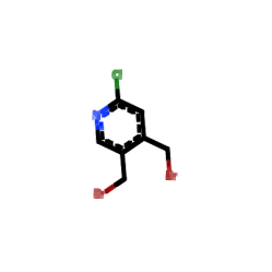 Clc1cc(CBr)c(CBr)cn1